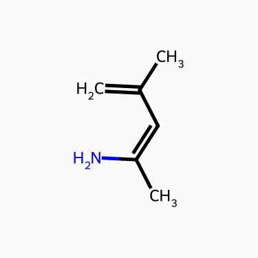 C=C(C)/C=C(/C)N